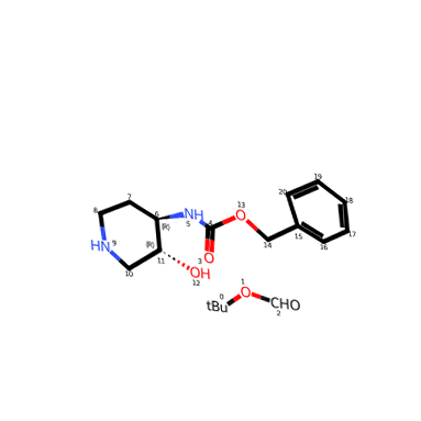 CC(C)(C)OC=O.O=C(N[C@@H]1CCNC[C@H]1O)OCc1ccccc1